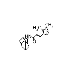 Cc1c(C=CC(=O)NC2C3CC4CC(C3)CC2C4)cnn1C